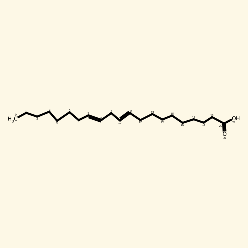 CCCCCCCC=CCC=CCCCCCCCCC(=O)O